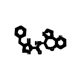 O=C(N[C@H]1COc2cccnc2-n2ccnc21)c1nnc(Cc2ccccc2)[nH]1